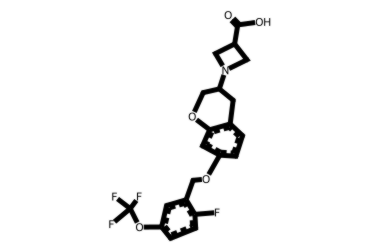 O=C(O)C1CN(C2COc3cc(OCc4cc(OC(F)(F)F)ccc4F)ccc3C2)C1